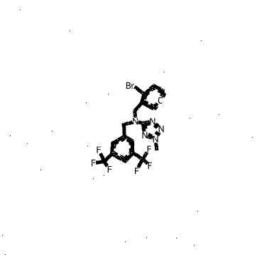 Cn1nnc(N(Cc2cc(C(F)(F)F)cc(C(F)(F)F)c2)Cc2ccccc2Br)n1